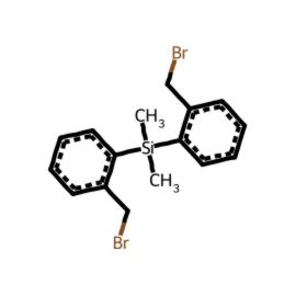 C[Si](C)(c1ccccc1CBr)c1ccccc1CBr